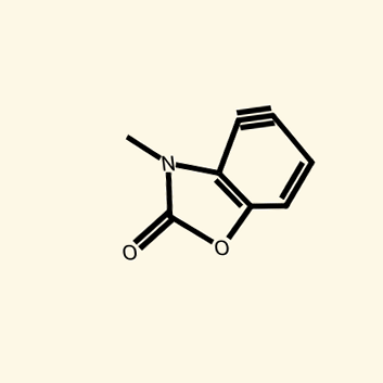 Cn1c(=O)oc2ccc#cc21